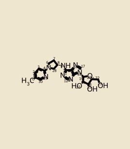 Cc1ccc(N2CC[C@H](Nc3ncnc4c3ncn4C3OC(CO)C(O)C3O)C2)nc1